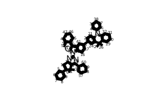 CC1(C)C(c2ccccc2)=Cc2nc(-n3c4ccc(-c5ccc6c(c5)C(C)(C)c5ccccc5N6c5ccccc5)cc4c4c5ccccc5ccc43)nc(-c3ccccc3)c21